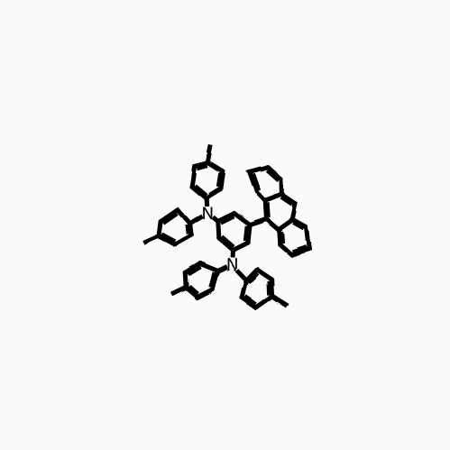 Cc1ccc(N(c2ccc(C)cc2)c2cc(-c3c4ccccc4cc4ccccc34)cc(N(c3ccc(C)cc3)c3ccc(C)cc3)c2)cc1